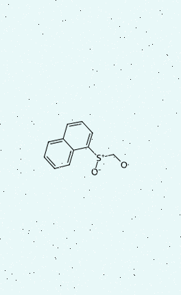 [O]C[S+]([O-])c1cccc2ccccc12